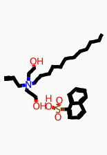 C=CC[N+](CCO)(CCO)CCCCCCCCCCCC.O=S(=O)(O)c1cccc2ccccc12